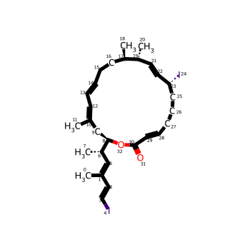 CC(/C=C/I)=C\[C@H](C)[C@H]1C/C(C)=C/C=C/CC[C@@H](C)[C@H](C)/C=C/[C@H](I)CCC/C=C/C(=O)O1